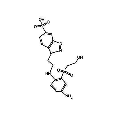 Nc1ccc(NCCn2nnc3cc(S(=O)(=O)O)ccc32)c(S(=O)(=O)CCO)c1